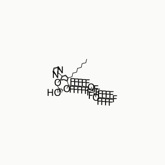 CCCCCCCCc1cc(-c2ncccn2)c2cc1C(C(F)(F)C(F)(F)C(F)(F)C(F)(F)C(F)(F)OC(F)(F)C(F)(F)OC(F)(F)C(F)(F)C(F)(F)C(F)(F)F)OC[C@H](O)CO2